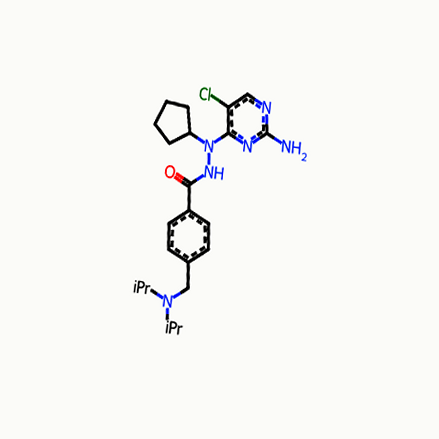 CC(C)N(Cc1ccc(C(=O)NN(c2nc(N)ncc2Cl)C2CCCC2)cc1)C(C)C